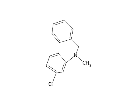 CN(Cc1ccccc1)c1[c]ccc(Cl)c1